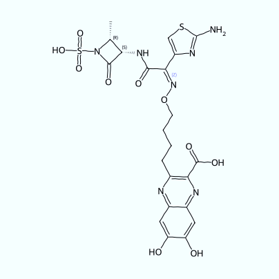 C[C@@H]1[C@H](NC(=O)/C(=N\OCCCCc2nc3cc(O)c(O)cc3nc2C(=O)O)c2csc(N)n2)C(=O)N1S(=O)(=O)O